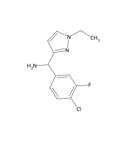 CCn1ccc(C(N)c2ccc(Cl)c(F)c2)n1